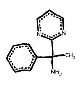 CC(N)(c1ccccc1)c1ncccn1